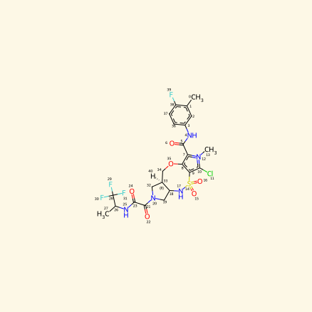 Cc1cc(NC(=O)c2c3c(c(Cl)n2C)S(=O)(=O)NC2CN(C(=O)C(=O)NC(C)C(F)(F)F)C[C@H]2CO3)ccc1F